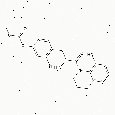 COC(=O)Oc1ccc(CC(N)C(=O)N2CCCc3cccc(O)c32)c(Cl)c1